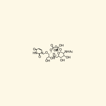 CC(=O)NC1C(O)[C@H](O)C(CN)O[C@@H]1O[P@@](=O)(O)O[P@@](=O)(O)OC[C@@H](OCn1ccc(=O)[nH]c1=O)C(O)CO